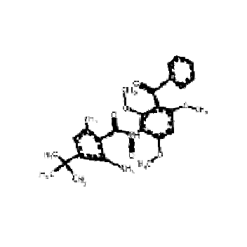 COc1cc(OC)c([PH](=O)C(=O)c2c(C)cc(C(C)(C)C)cc2C)c(OC)c1C(=O)c1ccccc1